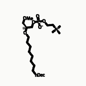 CCCCCCCCCCCCCCCCCCO[C@@H](COC)COP(=O)([O-])OCC[N+](C)(C)C